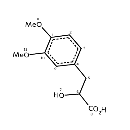 COc1ccc(CC(O)C(=O)O)cc1OC